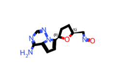 Nc1ncnn2c([C@H]3CC[C@@H](CN=O)O3)ccc12